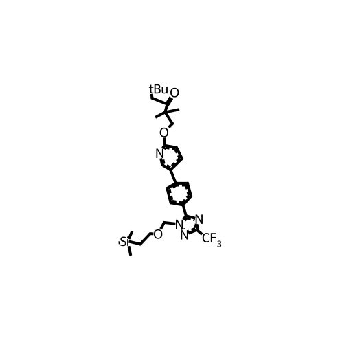 CC(C)(C)CC(=O)C(C)(C)COc1ccc(-c2ccc(-c3nc(C(F)(F)F)nn3COCC[Si](C)(C)C)cc2)cn1